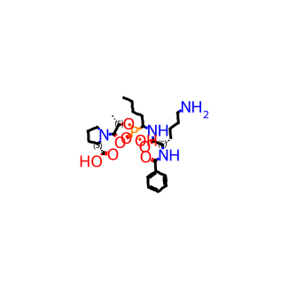 CCCCC(NC(=O)[C@H](CCCCN)NC(=O)c1ccccc1)P(=O)(O)O[C@@H](C)C(=O)N1CCC[C@H]1C(=O)O